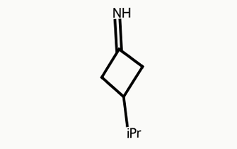 CC(C)C1CC(=N)C1